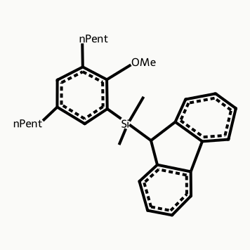 CCCCCc1cc(CCCCC)c(OC)c([Si](C)(C)C2c3ccccc3-c3ccccc32)c1